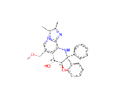 COCc1cn2c(C)c(C)nc2c2c1[C@@H](O)[C@H](O)C(c1ccccc1)(c1ccccc1)N2